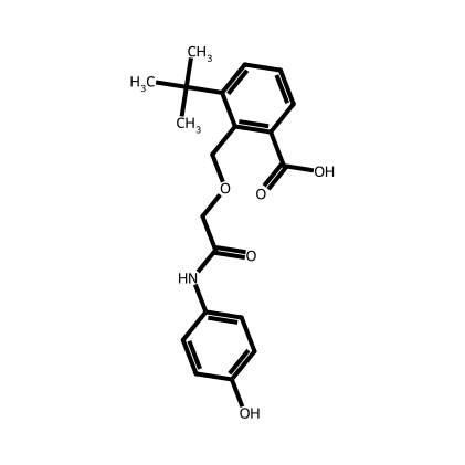 CC(C)(C)c1cccc(C(=O)O)c1COCC(=O)Nc1ccc(O)cc1